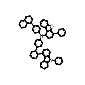 c1ccc(-c2ccc(N(c3ccc(-c4ccccc4-c4cccc5c4c4ccccc4n5-c4ccccc4)cc3)c3ccc(-c4cccc5ccccc45)cc3)c3c2oc2ccccc23)cc1